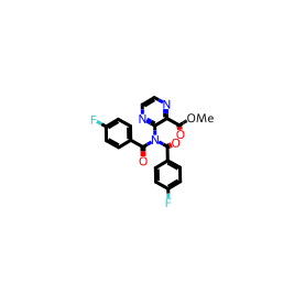 COC(=O)c1nccnc1N(C(=O)c1ccc(F)cc1)C(=O)c1ccc(F)cc1